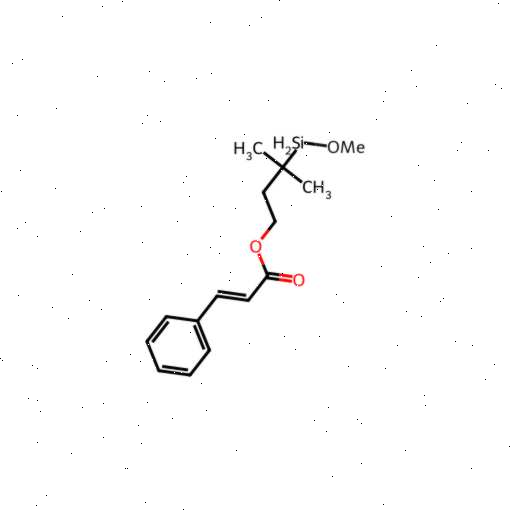 CO[SiH2]C(C)(C)CCOC(=O)C=Cc1ccccc1